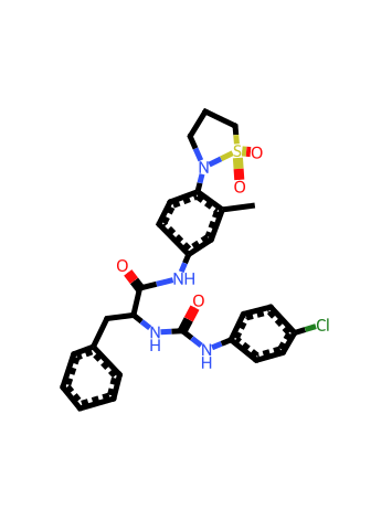 Cc1cc(NC(=O)C(Cc2ccccc2)NC(=O)Nc2ccc(Cl)cc2)ccc1N1CCCS1(=O)=O